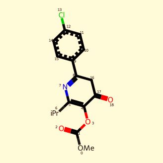 COC(=O)OC1=C(C(C)C)N=C(c2ccc(Cl)cc2)CC1=O